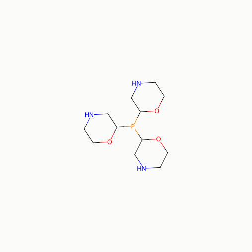 C1COC(P(C2CNCCO2)C2CNCCO2)CN1